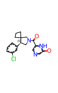 O=C(c1cncc(=O)[nH]1)N1C[C@@H](c2cccc(Cl)c2)C2(CCC2)C1